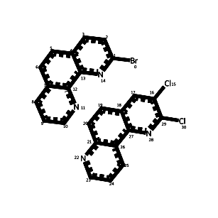 Brc1ccc2ccc3cccnc3c2n1.Clc1cc2ccc3ncccc3c2nc1Cl